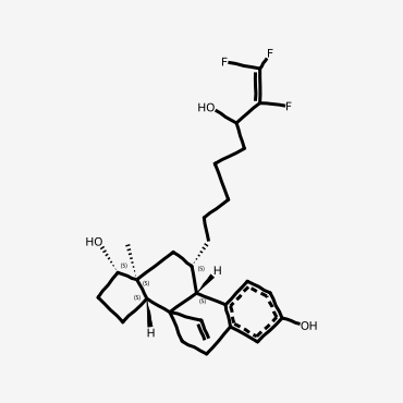 C=CC12CCc3cc(O)ccc3[C@H]1[C@@H](CCCCCC(O)C(F)=C(F)F)C[C@]1(C)[C@@H](O)CC[C@@H]21